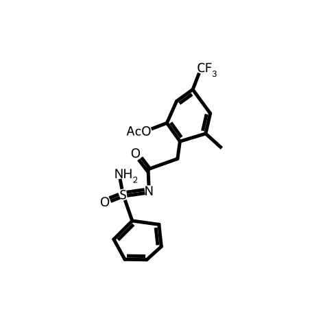 CC(=O)Oc1cc(C(F)(F)F)cc(C)c1CC(=O)N=S(N)(=O)c1ccccc1